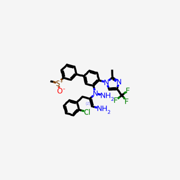 Cc1nc(C(F)(F)F)cn1-c1ccc(-c2cccc([S+](C)[O-])c2)cc1N(N)/C(=C\N)Cc1ccccc1Cl